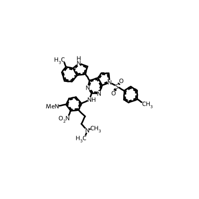 CNc1ccc(Nc2nc(-c3c[nH]c4c(C)cccc34)c3ccn(S(=O)(=O)c4ccc(C)cc4)c3n2)c(CCN(C)C)c1[N+](=O)[O-]